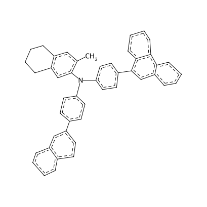 Cc1cc2c(cc1N(c1ccc(-c3ccc4ccccc4c3)cc1)c1ccc(-c3cc4ccccc4c4ccccc34)cc1)CCCC2